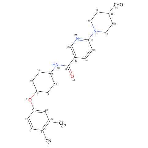 N#Cc1ccc(OC2CCC(NC(=O)c3ccc(N4CCC(C=O)CC4)nc3)CC2)cc1C(F)(F)F